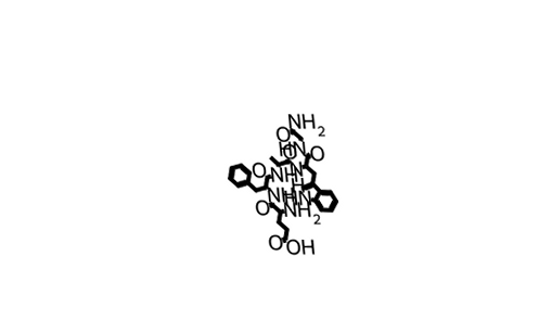 CC(NC(=O)C(Cc1ccccc1)NC(=O)C(N)CCC(=O)O)C(=O)NC(Cc1c[nH]c2ccccc12)C(=O)NCC(N)=O